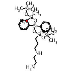 C[Si](C)(C)O[Si](C)(C)O[Si](O[Si](C)(CCCNCCN)O[Si](C)(C)C)(c1ccccc1)c1ccccc1